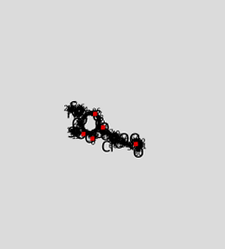 C=CC[C@H]1C(=O)C(C)(C)[C@@H](O[Si](C)(C)C(C)(C)C)CC(=O)O[C@H](c2ccc3sc(C)nc3c2)CC=C(C)CCC[C@H](C)[C@@H]1OC(=O)OCc1ccc(OC(=O)CCCN2C(=O)C=CC2=O)c(Cl)c1